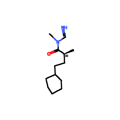 C[C@@H](CCC1CCCCC1)C(=O)N(C)C=N